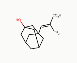 CC(=CC12CC3CC(CC(O)(C3)C1)C2)C(=O)O